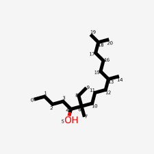 CCCCC(O)C(C)(CC)CCCC(C)CCCC(C)C